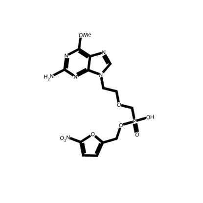 COc1nc(N)nc2c1ncn2CCOCP(=O)(O)OCc1ccc([N+](=O)[O-])o1